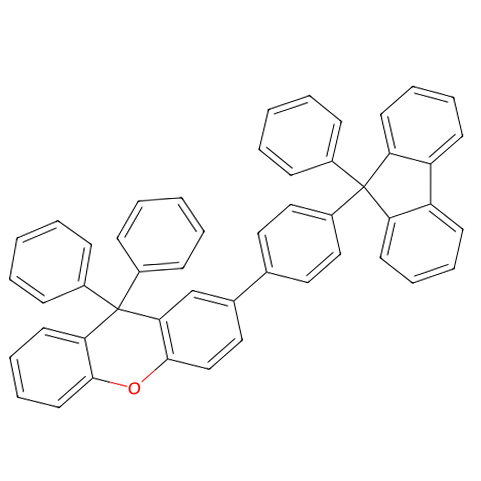 c1ccc(C2(c3ccccc3)c3ccccc3Oc3ccc(-c4ccc(C5(c6ccccc6)c6ccccc6-c6ccccc65)cc4)cc32)cc1